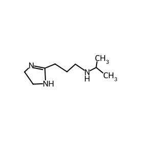 CC(C)NCCCC1=NCCN1